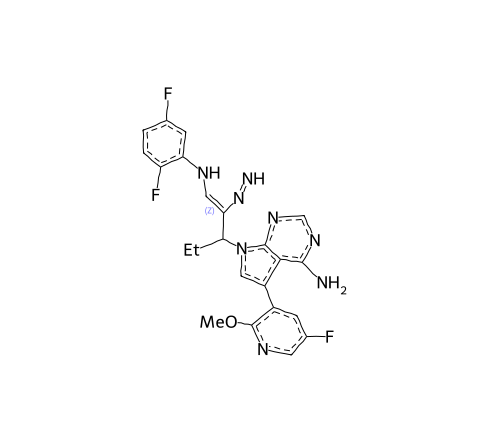 CCC(/C(=C/Nc1cc(F)ccc1F)N=N)n1cc(-c2cc(F)cnc2OC)c2c(N)ncnc21